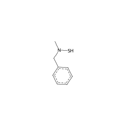 CN(S)Cc1ccccc1